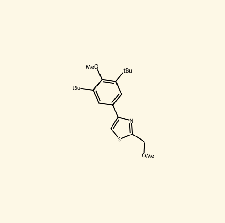 COCc1nc(-c2cc(C(C)(C)C)c(OC)c(C(C)(C)C)c2)cs1